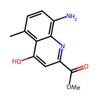 COC(=O)c1cc(O)c2c(C)ccc(N)c2n1